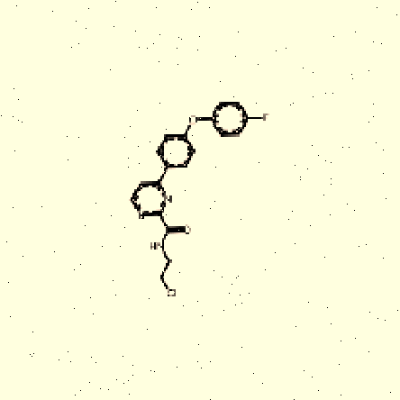 O=C(NCCCl)c1nccc(-c2ccc(Oc3ccc(F)cc3)cc2)n1